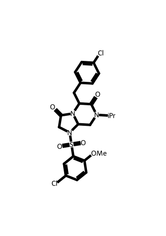 COc1ccc(Cl)cc1S(=O)(=O)N1CC(=O)N2C(Cc3ccc(Cl)cc3)C(=O)N(C(C)C)CC21